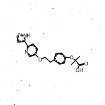 CC(C)(Oc1ccc(CCOc2ccc(-c3ccn[nH]3)nc2)cc1)C(=O)O